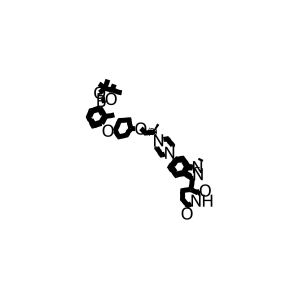 Cc1c(OC2CCC(OC[C@@H](C)N3CCN(c4ccc5c(C6CCC(=O)NC6=O)nn(C)c5c4)CC3)CC2)cccc1B1OC(C)(C)C(C)(C)O1